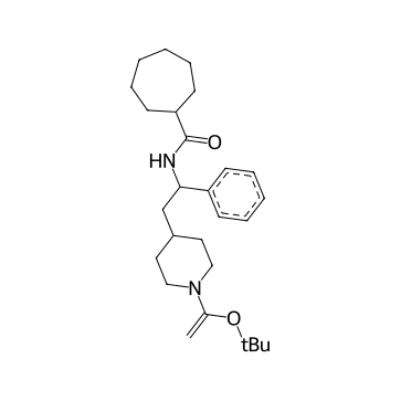 C=C(OC(C)(C)C)N1CCC(CC(NC(=O)C2CCCCCC2)c2ccccc2)CC1